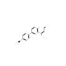 C=C/C=C(/S)c1cc(-c2ccc(C#N)cc2)ccc1C